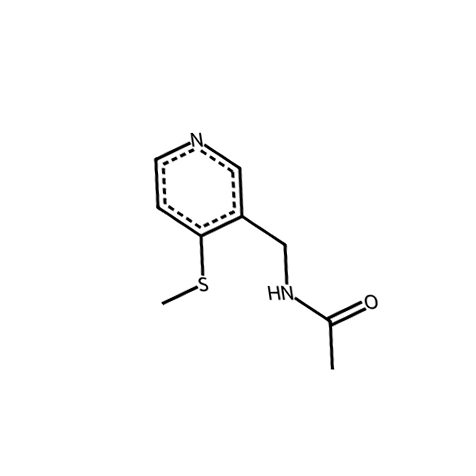 CSc1ccncc1CNC(C)=O